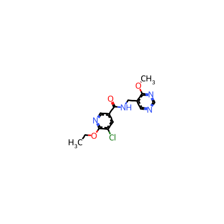 CCOc1ncc(C(=O)NCc2cncnc2OC)cc1Cl